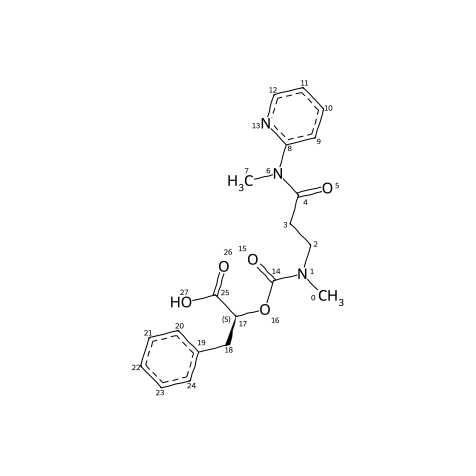 CN(CCC(=O)N(C)c1ccccn1)C(=O)O[C@@H](Cc1ccccc1)C(=O)O